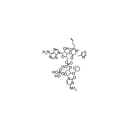 C=CCCC(=O)N(C)[C@H](Cc1cscn1)C(=O)OC1C(COP(=O)(O)O[C@H]2[C@@H](OC3CCCO3)[C@H](n3ccc(N)nc3=O)O[C@@H]2COP(=O)(O)O)OC(n2cnc3c(N)ncnc32)C1O